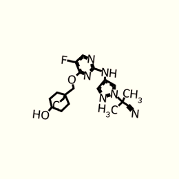 CC(C)(C#N)n1cc(Nc2ncc(F)c(OCC34CCC(O)(CC3)CC4)n2)cn1